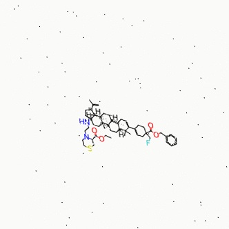 C=C(C)[C@@H]1CC[C@]2(NCCN3CCSCC3C(=O)OCC)CC[C@]3(C)[C@H](CC[C@@H]4[C@@]5(C)CC=C(C6=CCC(CF)(C(=O)OCc7ccccc7)CC6)C(C)(C)[C@@H]5CC[C@]43C)[C@@H]12